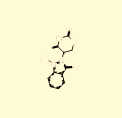 CCn1c2ccccc2c(=O)n1C1COC(=O)NC1=O